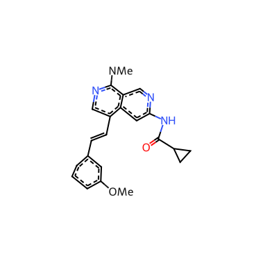 CNc1ncc(C=Cc2cccc(OC)c2)c2cc(NC(=O)C3CC3)ncc12